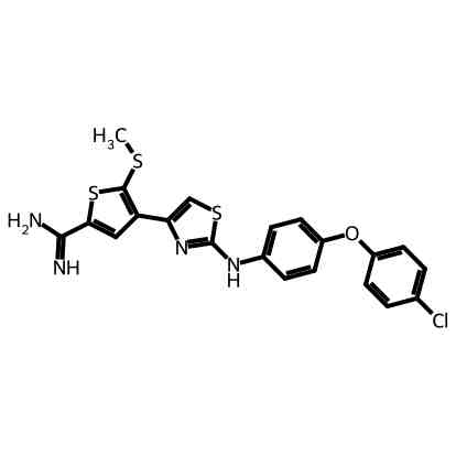 CSc1sc(C(=N)N)cc1-c1csc(Nc2ccc(Oc3ccc(Cl)cc3)cc2)n1